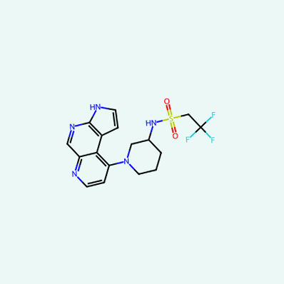 O=S(=O)(CC(F)(F)F)NC1CCCN(c2ccnc3cnc4[nH]ccc4c23)C1